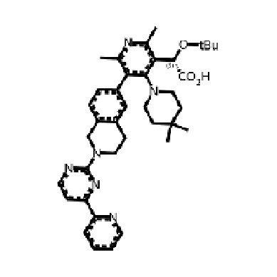 Cc1nc(C)c([C@H](OC(C)(C)C)C(=O)O)c(N2CCC(C)(C)CC2)c1-c1ccc2c(c1)CCN(c1nccc(-c3ccccn3)n1)C2